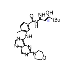 Cc1ccc(C(=O)NC(=N)/C=C(\O)C(C)(C)C)cc1Nc1ncnc2cnc(N3CCOCC3)nc12